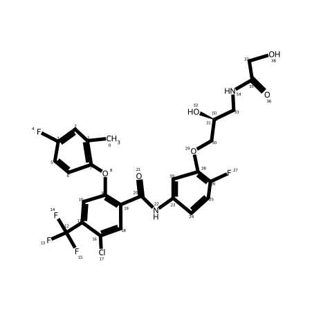 Cc1cc(F)ccc1Oc1cc(C(F)(F)F)c(Cl)cc1C(=O)Nc1ccc(F)c(OC[C@@H](O)CNC(=O)CO)c1